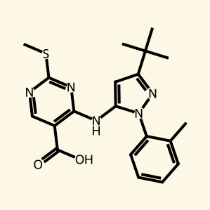 CSc1ncc(C(=O)O)c(Nc2cc(C(C)(C)C)nn2-c2ccccc2C)n1